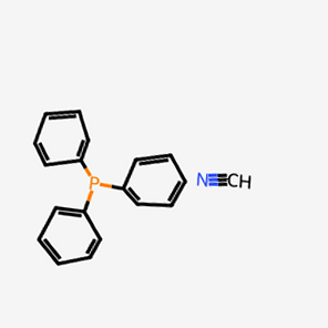 C#N.c1ccc(P(c2ccccc2)c2ccccc2)cc1